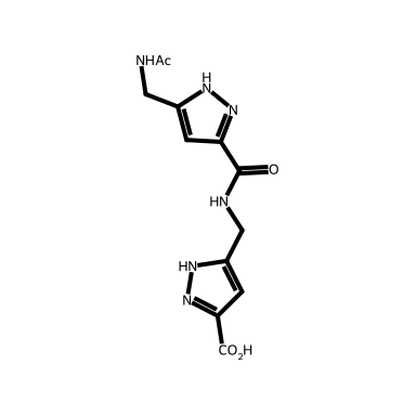 CC(=O)NCc1cc(C(=O)NCc2cc(C(=O)O)n[nH]2)n[nH]1